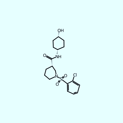 O=C(N[C@H]1CC[C@@H](O)CC1)[C@H]1CCCN(S(=O)(=O)c2ccccc2Cl)C1